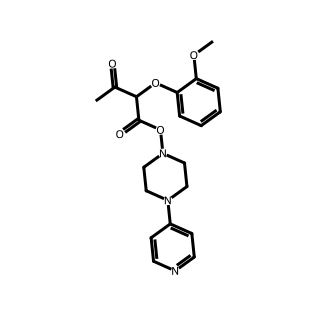 COc1ccccc1OC(C(C)=O)C(=O)ON1CCN(c2ccncc2)CC1